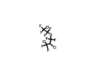 FC(F)(Cl)C(Cl)C(F)(F)OC(F)(F)C(F)(F)Cl